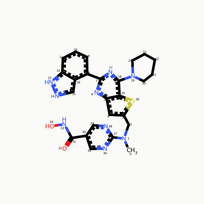 CN(Cc1cc2nc(-c3cccc4[nH]ncc34)nc(N3CCCCC3)c2s1)c1ncc(C(=O)NO)cn1